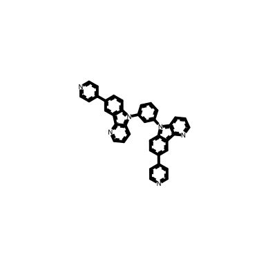 c1cc(-n2c3ccc(-c4ccncc4)cc3c3ncccc32)cc(-n2c3ccc(-c4ccncc4)cc3c3ncccc32)c1